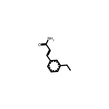 CCc1cccc(C=CC(N)=O)c1